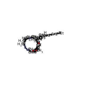 CCOCCOCCOCCOCCNC(=S)O[C@@H]1CC[C@@H](C[C@@H](N)[C@@H]2C[C@@H](O)[C@H](C)/C=C(\C)[C@@H](O)[C@@H](O)C(=O)[C@H](C)C[C@H](C)/C=C/C=C/C=C(\C)[C@@H](OC)C[C@@H]3CC[C@@H](C)[C@@](O)(O3)C(=O)C(=O)N3CCCC[C@H]3C(=O)O2)C[C@H]1OC